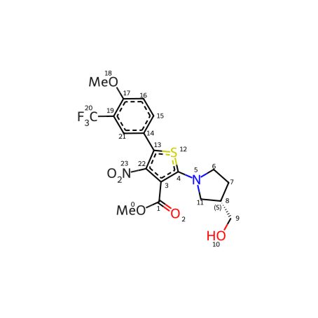 COC(=O)c1c(N2CC[C@H](CO)C2)sc(-c2ccc(OC)c(C(F)(F)F)c2)c1[N+](=O)[O-]